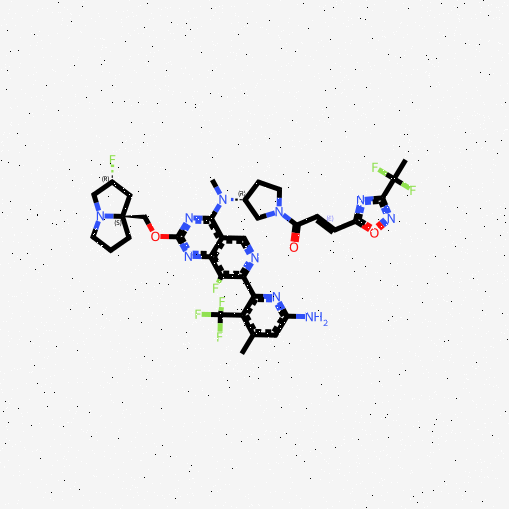 Cc1cc(N)nc(-c2ncc3c(N(C)[C@@H]4CCN(C(=O)/C=C/c5nc(C(C)(F)F)no5)C4)nc(OC[C@@]45CCCN4C[C@H](F)C5)nc3c2F)c1C(F)(F)F